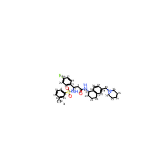 O=C(CC(NS(=O)(=O)c1cccc(C(F)(F)F)c1)c1ccc(F)cc1)N[C@@H]1CCCc2cc(CN3CCCCC3)ccc21